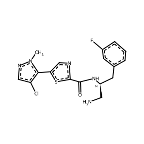 Cn1ncc(Cl)c1-c1cnc(C(=O)N[C@H](CN)Cc2cccc(F)c2)s1